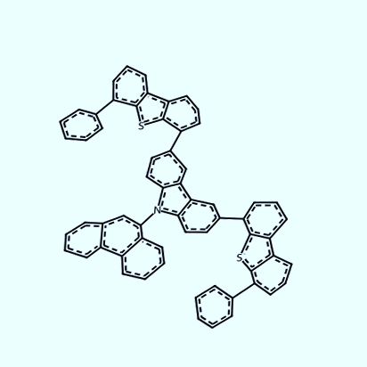 c1ccc(-c2cccc3c2sc2c(-c4ccc5c(c4)c4cc(-c6cccc7c6sc6c(-c8ccccc8)cccc67)ccc4n5-c4cc5ccccc5c5ccccc45)cccc23)cc1